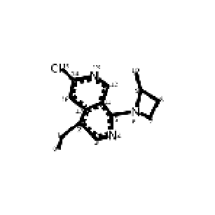 CCc1cnc(N2CCC2C)c2cnc(Cl)cc12